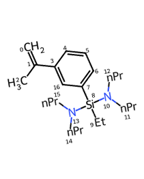 C=C(C)c1cccc([Si](CC)(N(CCC)CCC)N(CCC)CCC)c1